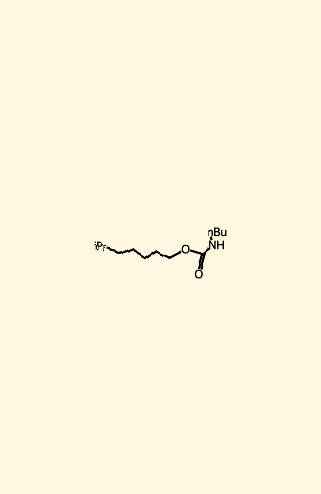 CCCCNC(=O)OCCCCCC(C)C